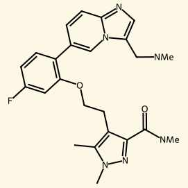 CNCc1cnc2ccc(-c3ccc(F)cc3OCCc3c(C(=O)NC)nn(C)c3C)cn12